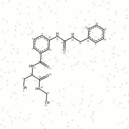 CC(C)CC(NC(=O)c1cccc(NC(=O)NCc2ccccn2)c1)C(=O)NCC#N